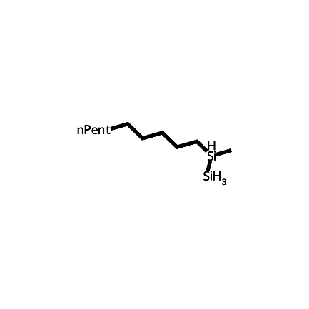 CCCCCCCCCC[SiH](C)[SiH3]